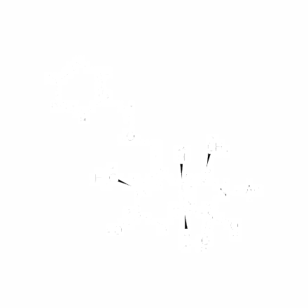 CC(=O)N1[C@H](C)[C@H]2[C@@H](COCc3ccccc3)[C@H](C)C(=O)C[C@H]2S1(=O)=O